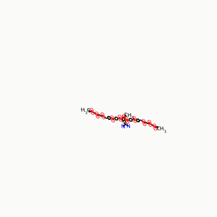 C=CC(=O)OCCOC(=O)CCC(=O)OCCc1ccc(OC(=O)[C@H]2CC[C@H](C(=O)Oc3c(OCC)cc(OC(O)[C@H]4CC[C@H](C(=O)Oc5ccc(CCOC(=O)CCC(=O)OCCOC(=O)C=C)cc5)CC4)c4c3SC(=C(C#N)C#N)S4)CC2)cc1